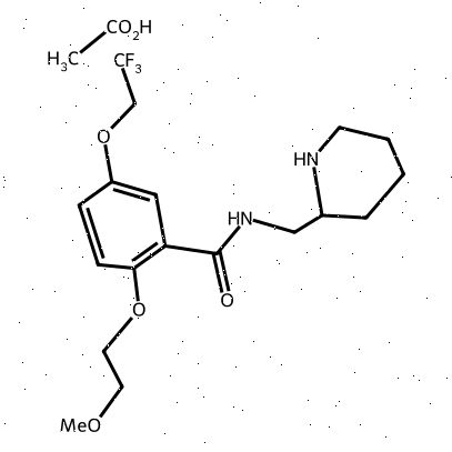 CC(=O)O.COCCOc1ccc(OCC(F)(F)F)cc1C(=O)NCC1CCCCN1